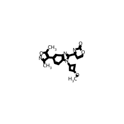 COC1CC(n2c(-c3ccoc(=O)n3)nc3cc(-c4c(C)noc4C)ccc32)C1